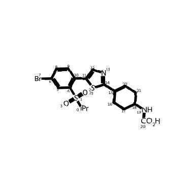 CC(C)S(=O)(=O)c1cc(Br)ccc1-c1cnc(C2CCC(NC(=O)O)CC2)s1